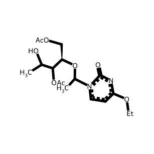 CCOc1ccn(C(C)O[C@H](COC(C)=O)C(OC(C)=O)C(C)O)c(=O)n1